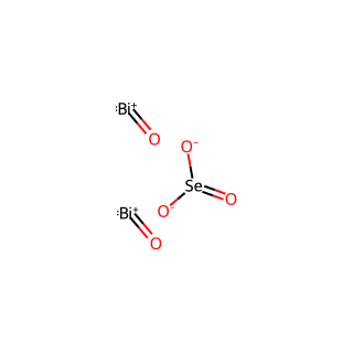 O=[Se]([O-])[O-].[O]=[Bi+].[O]=[Bi+]